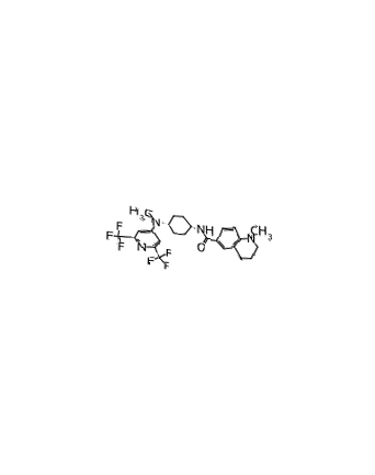 CN1CCCc2cc(C(=O)N[C@H]3CC[C@@H](N(C)c4cc(C(F)(F)F)nc(C(F)(F)F)c4)CC3)ccc21